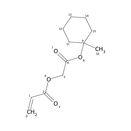 C=CC(=O)OCC(=O)OC1(C)CCCCC1